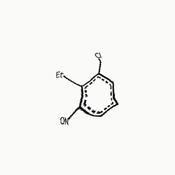 CCc1c(Cl)cccc1N=O